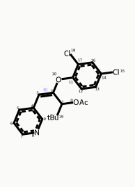 CC(=O)OC(/C(=C\c1cccnc1)Oc1ccc(Cl)cc1Cl)C(C)(C)C